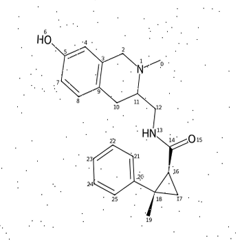 CN1Cc2cc(O)ccc2CC1CNC(=O)[C@H]1C[C@]1(C)c1ccccc1